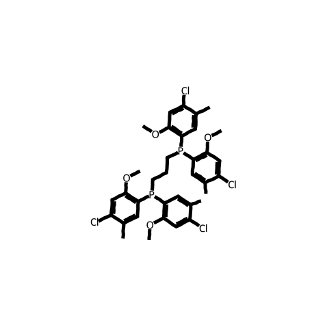 COc1cc(Cl)c(C)cc1P(CCCP(c1cc(C)c(Cl)cc1OC)c1cc(C)c(Cl)cc1OC)c1cc(C)c(Cl)cc1OC